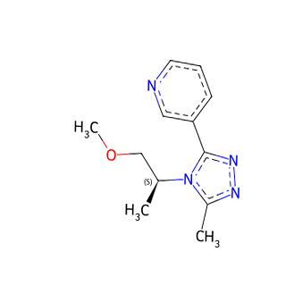 COC[C@H](C)n1c(C)nnc1-c1cccnc1